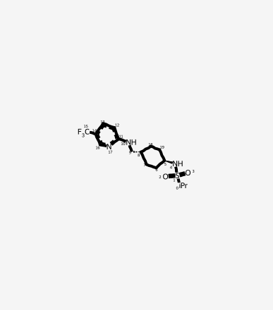 CC(C)S(=O)(=O)N[C@H]1CC[C@H](CNc2ccc(C(F)(F)F)cn2)CC1